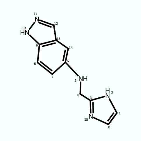 c1c[nH]c(CNc2ccc3[nH]ncc3c2)n1